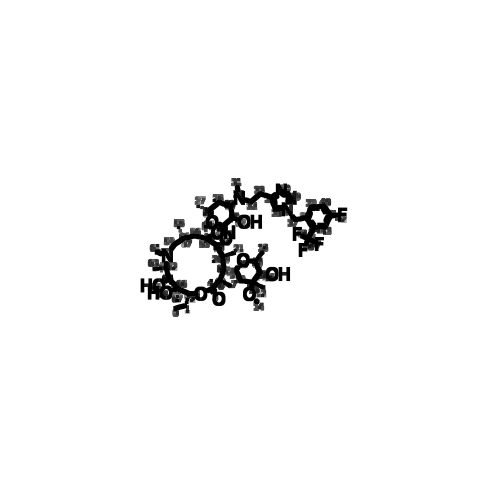 CC[C@H]1OC(=O)[C@H](C)[C@@H](C2C[C@@](C)(OC)[C@@H](O)[C@H](C)O2)[C@H](C)[C@@H](O[C@@H]2O[C@H](C)C[C@H](N(C)CCc3cn(Cc4ccc(F)cc4C(F)(F)F)nn3)[C@H]2O)[C@](C)(O)C[C@@H](C)CN(C)[C@H](C)[C@@H](O)[C@]1(C)O